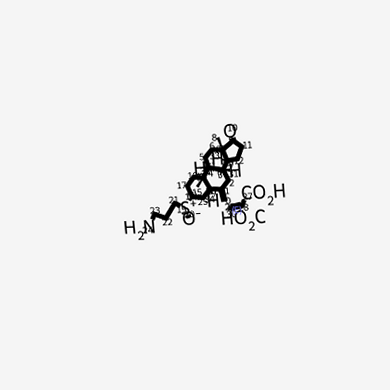 C=C1C[C@@H]2[C@H](CC[C@]3(C)C(=O)CC[C@@H]23)[C@@]2(C)CC[C@H]([S+]([O-])CCCN)C[C@H]12.O=C(O)/C=C/C(=O)O